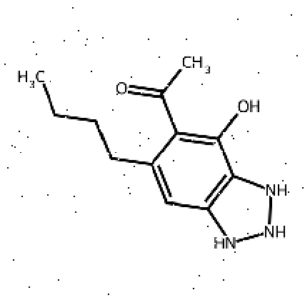 CCCCc1cc2c(c(O)c1C(C)=O)NNN2